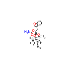 CC1(C)[C@H]2C[C@@H]1[C@]1(C)OB(C(Cc3coc4ccccc34)OC(N)=O)O[C@]1(C)C2